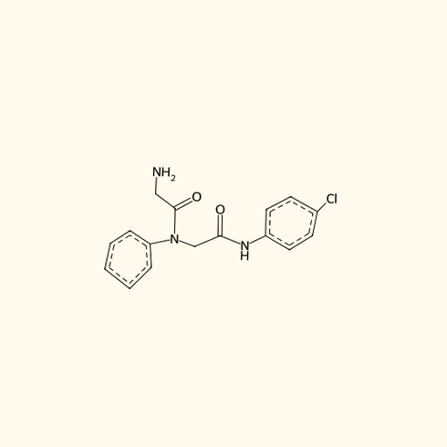 NCC(=O)N(CC(=O)Nc1ccc(Cl)cc1)c1ccccc1